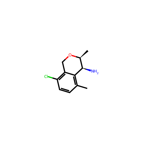 Cc1ccc(Cl)c2c1[C@H](N)[C@H](C)OC2